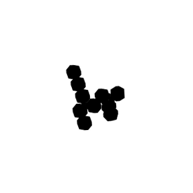 c1ccc(-c2ccc(-c3ccc(N(c4cccc(-c5ccccc5)c4)c4cccc(-c5cccc6c5c5cc7ccccc7cc5n6-c5ccccc5)c4)cc3)cc2)cc1